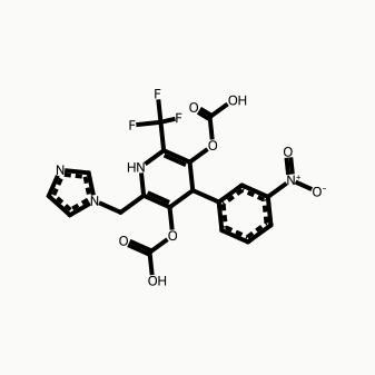 O=C(O)OC1=C(Cn2ccnc2)NC(C(F)(F)F)=C(OC(=O)O)C1c1cccc([N+](=O)[O-])c1